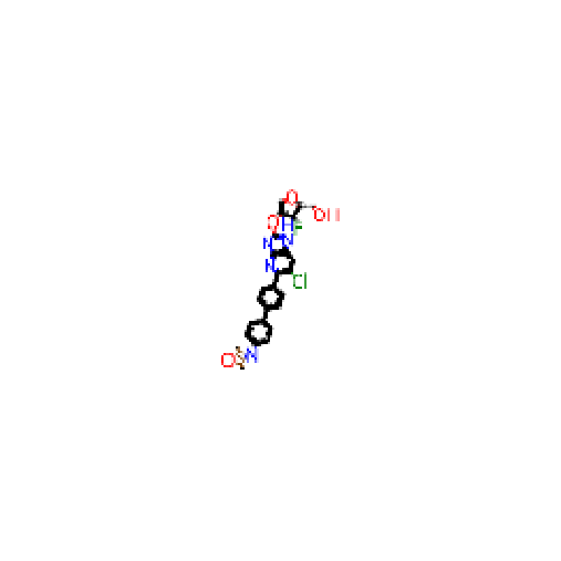 CS(C)(=O)=Nc1ccc(-c2ccc(-c3nc4nc(O[C@@H]5CO[C@H](CO)[C@@H]5F)[nH]c4cc3Cl)cc2)cc1